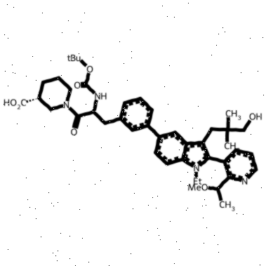 CCn1c(-c2cccnc2C(C)OC)c(CC(C)(C)CO)c2cc(-c3cccc(CC(NC(=O)OC(C)(C)C)C(=O)N4CCC[C@@H](C(=O)O)C4)c3)ccc21